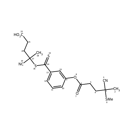 CSC(C)(C#N)CCC(=O)Oc1cccc(C(=S)SC(C)(C#N)CCC(=O)O)c1